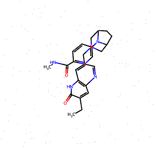 CCc1cc2ncc(CN3CC4CCC(C3)N4c3ccc(C(=O)NC)nc3)cc2[nH]c1=O